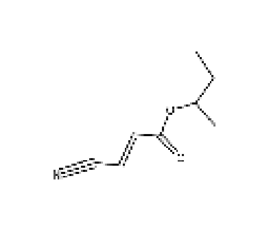 CCC(C)OC(=O)C=CC#N